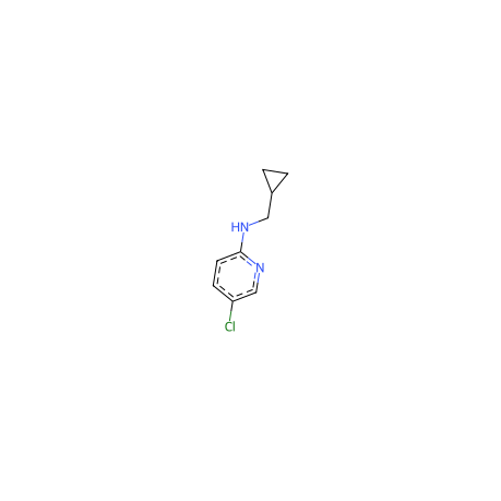 Clc1ccc(NCC2CC2)nc1